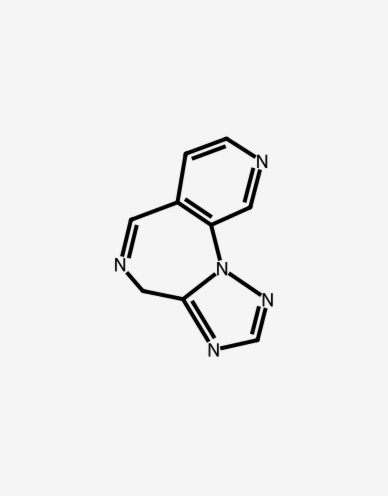 C1=NCc2ncnn2-c2cnccc21